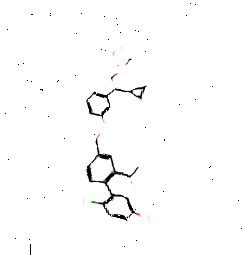 CCOP(C)(=O)C[C@H](c1cccc(OCc2ccc(-c3cc(O)ccc3F)c([C@@H](C)C(C)(C)C)c2)c1)C1CC1